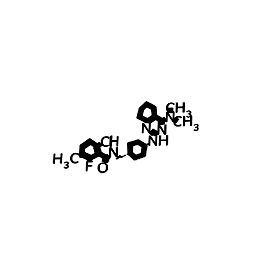 Cc1ccc(Cl)c(C(=O)NC[C@H]2CC[C@@H](Nc3nc4c(c(N(C)C)n3)CCCC4)CC2)c1F